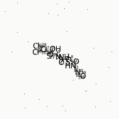 C/C(=N\NC(=O)c1ccc(C(=O)NCCN2CCOCC2)s1)c1csc(-c2ccc(Cl)c(Cl)c2)c1O